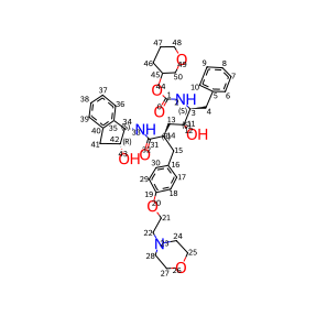 O=C(N[C@@H](Cc1ccccc1)[C@@H](O)C[C@@H](Cc1ccc(OCCN2CCOCC2)cc1)C(=O)N[C@H]1c2ccccc2C[C@H]1O)OC1CCCOC1